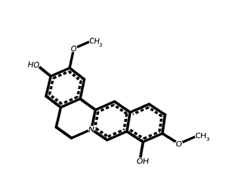 COc1cc2c(cc1O)CC[n+]1cc3c(O)c(OC)ccc3cc1-2